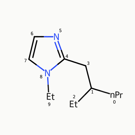 CCCC(CC)Cc1nccn1CC